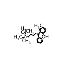 Cc1ccc(O)c([C@H](CCCCN(C(C)C)C(C)C)c2ccccc2)c1